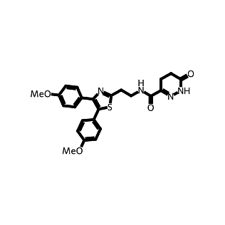 COc1ccc(-c2nc(CCNC(=O)C3=NNC(=O)CC3)sc2-c2ccc(OC)cc2)cc1